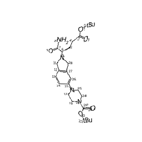 CC(C)(C)OC(=O)CC[C@H](C(N)=O)N1Cc2ccc(N3CCN(C(=O)OC(C)(C)C)CC3)cc2C1